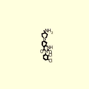 CC1(N)CCN(c2ccc3c(=O)n(-c4cccc(Cl)c4Cl)c(=O)[nH]c3c2)CC1